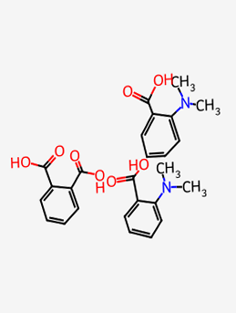 CN(C)c1ccccc1C(=O)O.CN(C)c1ccccc1C(=O)O.O=C(O)c1ccccc1C(=O)O